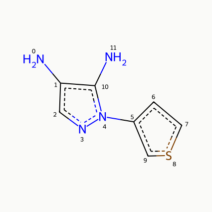 Nc1cnn(-c2ccsc2)c1N